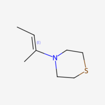 C/C=C(\C)N1CCSCC1